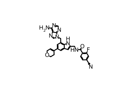 N#Cc1ccc(C(=O)NCc2cc3cc(C4=CCOCC4)cc(Cn4cnc5c(N)ncnc54)c3[nH]2)c(F)c1